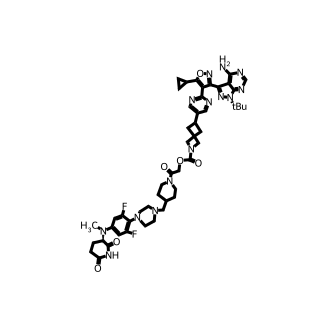 CN(c1cc(F)c(N2CCN(CC3CCN(C(=O)COC(=O)N4CC5(CC(c6cnc(-c7c(-c8nn(C(C)(C)C)c9ncnc(N)c89)noc7C7CC7)nc6)C5)C4)CC3)CC2)c(F)c1)[C@@H]1CCC(=O)NC1=O